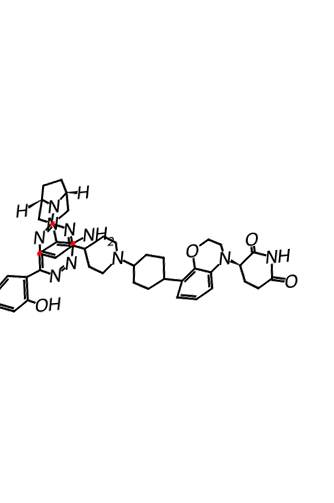 Nc1nnc(-c2cc(F)ccc2O)cc1N1C[C@H]2CC[C@@H](C1)N2c1nccc(C2CCN(C3CCC(c4cccc5c4OCCN5[C@@H]4CCC(=O)NC4=O)CC3)CC2)n1